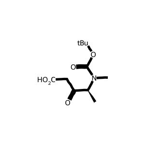 C[C@@H](C(=O)CC(=O)O)N(C)C(=O)OC(C)(C)C